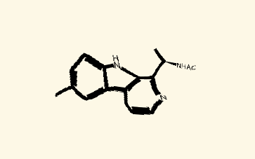 CC(=O)N[C@H](C)c1nccc2c1[nH]c1ccc(C)cc12